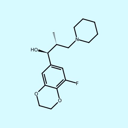 C[C@H](CN1CCCCC1)[C@H](O)c1cc(F)c2c(c1)OCCO2